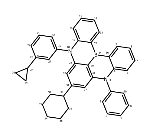 c1ccc(N2c3ccccc3B3c4ccccc4N(c4cccc(C5CC5)c4)c4cc(C5CCCCC5)cc2c43)cc1